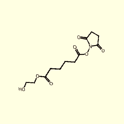 O=C(CCCCC(=O)ON1C(=O)CCC1=O)OCCO